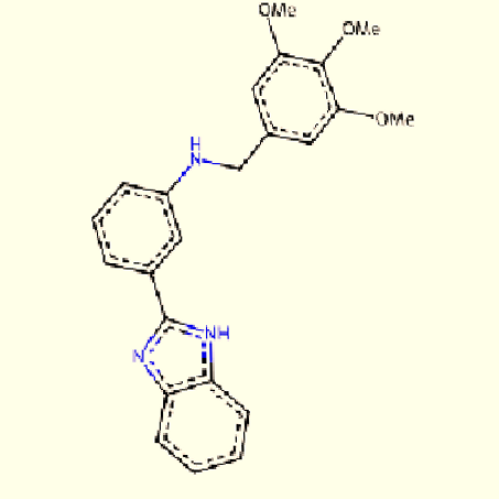 COc1cc(CNc2cccc(-c3nc4ccccc4[nH]3)c2)cc(OC)c1OC